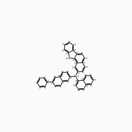 c1ccc(-c2ccc3cc(N(c4ccc5ccc6c7ccccc7sc6c5c4)c4cccc5ccccc45)ccc3c2)cc1